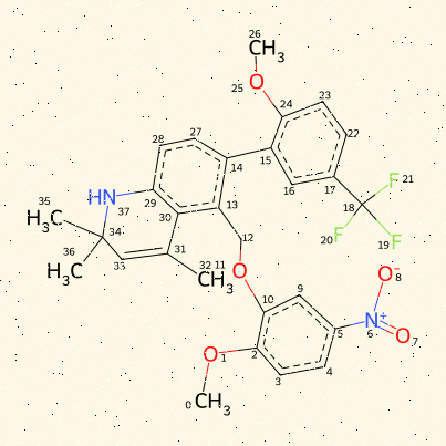 COc1ccc([N+](=O)[O-])cc1OCc1c(-c2cc(C(F)(F)F)ccc2OC)ccc2c1C(C)=CC(C)(C)N2